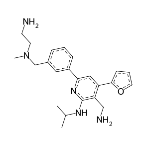 CC(C)Nc1nc(-c2cccc(CN(C)CCN)c2)cc(-c2ccco2)c1CN